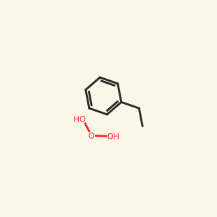 CCc1ccccc1.OOO